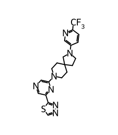 FC(F)(F)c1ccc(N2CCC3(CCN(c4cncc(-c5nncs5)n4)CC3)C2)cn1